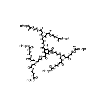 CCCCCCCCC(=O)OCCOC(=O)CCN(CCCNC(=O)c1cc(C(=O)NCCCN(CCC(=O)OCCOC(=O)CCCCCCC)CCC(=O)OCCOC(=O)CCCCCCC)cc(C(=O)NCCCN(CCC(=O)OCCOC(=O)CCCCCCC)CCC(=O)OCCOC(=O)CCCCCCC)c1)CCC(=O)OCCOC(=O)CCCCCCC